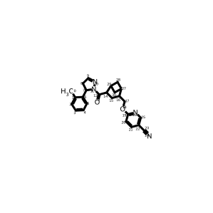 Cc1ccccc1C1CC=NN1C(=O)C1CC(COc2ccc(C#N)cn2)C2CC1C2